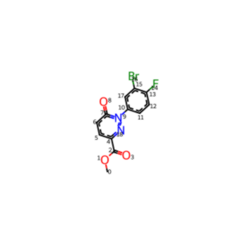 COC(=O)c1ccc(=O)n(-c2ccc(F)c(Br)c2)n1